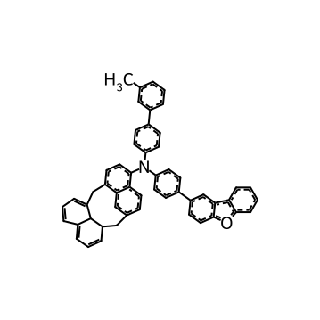 Cc1cccc(-c2ccc(N(c3ccc(-c4ccc5oc6ccccc6c5c4)cc3)c3ccc4c5cc(ccc35)CC3C=CC=C5C=CC=C(C4)C53)cc2)c1